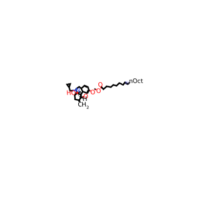 C=C1CC[C@@]2(O)C3CC4C=CC(OCOC(=O)CCCCCCC/C=C/CCCCCCCC)=C5O[C@@H]1[C@]2(CCN3CC1CC1)C54